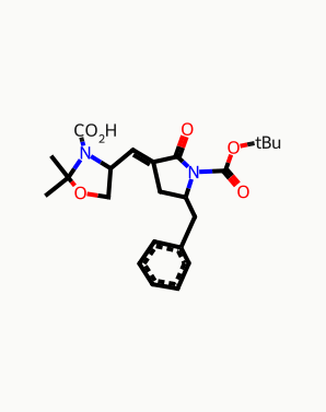 CC(C)(C)OC(=O)N1C(=O)/C(=C/C2COC(C)(C)N2C(=O)O)CC1Cc1ccccc1